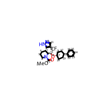 COC(=O)N1CCC[C@H](c2[nH]ncc2C(F)(F)F)[C@@H]1CO[C@H]1CC[C@@H](c2ccccc2)CC1